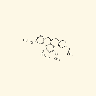 COc1ccc(CN(Cc2ccc(OC)cc2)c2nc(OC)c(Br)c(OC)n2)cc1